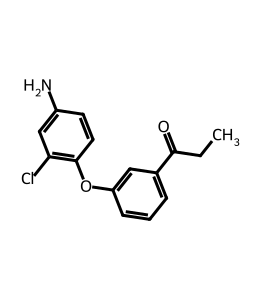 CCC(=O)c1cccc(Oc2ccc(N)cc2Cl)c1